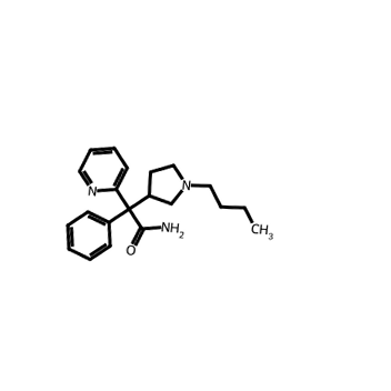 CCCCN1CCC(C(C(N)=O)(c2ccccc2)c2ccccn2)C1